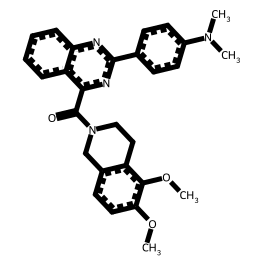 COc1ccc2c(c1OC)CCN(C(=O)c1nc(-c3ccc(N(C)C)cc3)nc3ccccc13)C2